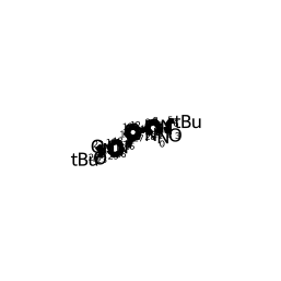 Cn1c(=O)n(CC(C)(C)C)c2ccc(-c3cccc(CN4CCN(C(=O)OC(C)(C)C)CC4)c3)nc21